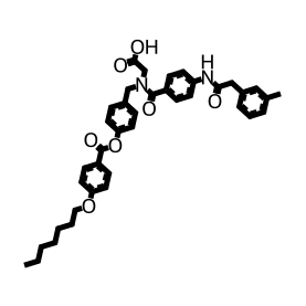 CCCCCCCOc1ccc(C(=O)Oc2ccc(CN(CC(=O)O)C(=O)c3ccc(NC(=O)Cc4cccc(C)c4)cc3)cc2)cc1